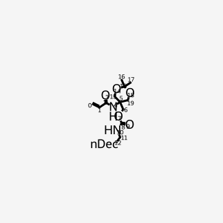 C=CC(=O)NC1(COC(=O)NCCCCCCCCCCC)COC(C)(C)OC1